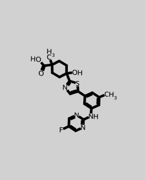 Cc1cc(Nc2ncc(F)cn2)cc(-c2cnc(C3(O)CCC(C)(C(=O)O)CC3)s2)c1